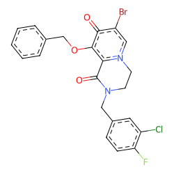 O=C1c2c(OCc3ccccc3)c(=O)c(Br)cn2CCN1Cc1ccc(F)c(Cl)c1